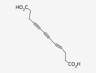 O=C(O)CCC#CC#CC#CCCC(=O)O